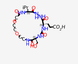 CC(C)[C@@H]1NC(=O)COCCOCCNC(=O)[C@H](CO)NC(=O)N[C@@H](CCC(=O)O)C(=O)NNC1=O